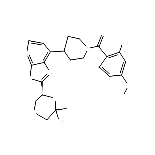 CC1(C)CNC[C@@H](c2nc3c(C4CCN(C(=O)c5ccc(OC(F)(F)F)cc5N)CC4)ccnc3[nH]2)O1